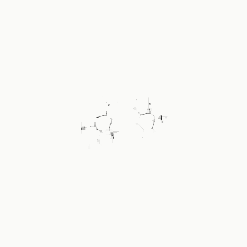 Cc1ccc(C(C)CCC(C)c2cc(F)c(C(C)C)c(F)c2)c(F)c1F